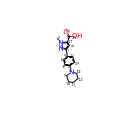 Cn1nc(-c2ccc(N3CCCCC3)cc2)cc1C(=O)O